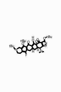 CCCCOc1noc2c1C(=O)[C@@]1(O)C(O)=C3C(=O)c4c(c(F)c5c(c4OCCCC)CN(CC(C)(C)C)CC5)C[C@H]3C[C@H]1[C@@H]2N(C)C